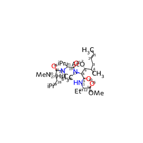 C/C=C/C[C@@H](C)[C@@H](OC(C)=O)[C@@H](C(=O)N[C@@H](CC)C(=O)OC)N(C)C(=O)[C@H](C(C)C)N(C)C(=O)[C@H](CC(C)C)NC